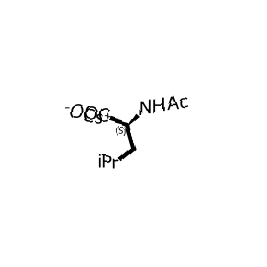 CC(=O)N[C@@H](CC(C)C)C(=O)[O-].[Cs+]